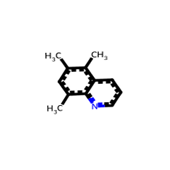 Cc1cc(C)c2ncccc2c1C